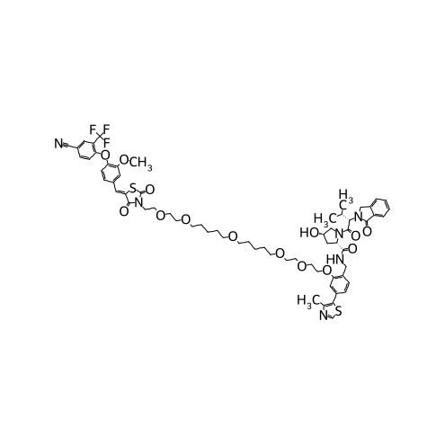 COc1cc(/C=C2\SC(=O)N(CCOCCOCCCCCOCCCCCOCCOCCOc3cc(-c4scnc4C)ccc3CNC(=O)[C@@H]3C[C@@H](O)CN3C(=O)[C@H](C(C)C)N3Cc4ccccc4C3=O)C2=O)ccc1Oc1ccc(C#N)cc1C(F)(F)F